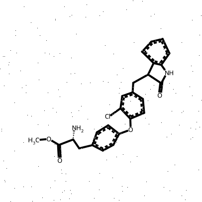 COC(=O)[C@H](N)Cc1ccc(Oc2ccc(CC3C(=O)Nc4ccccc43)cc2Cl)cc1